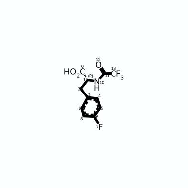 O=C(O)[C@@H](Cc1ccc(F)cc1)NC(=O)C(F)(F)F